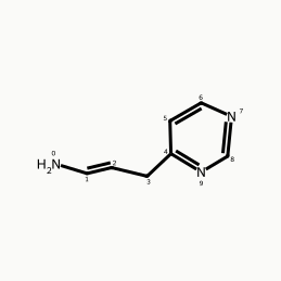 NC=CCc1ccncn1